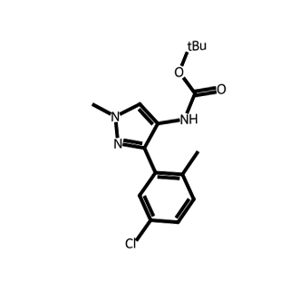 Cc1ccc(Cl)cc1-c1nn(C)cc1NC(=O)OC(C)(C)C